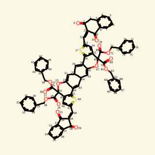 O=C1Cc2ccccc2C(=O)/C1=C\c1cc2c(s1)C1=CC3C=C4OC(C(=O)OCc5ccccc5)(C(=O)OCc5ccccc5)c5cc(C=C6C(=O)c7ccccc7C6=O)sc5C4=CC3C=C1OC2(C(=O)OCc1ccccc1)C(=O)OCc1ccccc1